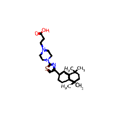 CC1(C)CCC(C)(C)C2CC(c3csc(N4CCN(CCC(=O)O)CC4)n3)CCC21